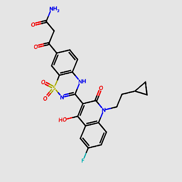 NC(=O)CC(=O)c1ccc2c(c1)S(=O)(=O)N=C(c1c(O)c3cc(F)ccc3n(CCC3CC3)c1=O)N2